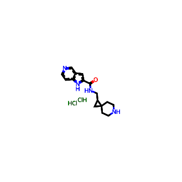 Cl.Cl.O=C(NCC1CC12CCNCC2)c1cc2cnccc2[nH]1